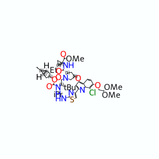 CC[C@@H]1C[C@]1(NC(=O)[C@@H]1C[C@@H](Oc2cc(-c3csc(NC(C)C)n3)nc3c(Cl)c(OCC(OC)OC)ccc23)CN1C(=O)[C@@H](NC(=O)O[C@@H]1C[C@@H]2[C@H](C)[C@@H]2C1)C(C)(C)C)C(=O)OC